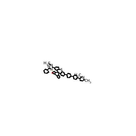 Cc1ccc(-c2ccc(-c3ccc(-c4ccc5c(c4)Sc4ccc(-c6nc(C)nc(-c7ccccc7)n6)cc4C54c5ccccc5-c5ccccc54)cc3)cc2)c(C)n1